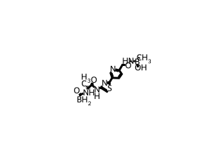 BC(=O)N[C@@H](C)C(=O)Nc1csc(-c2ccc(CONB(C)O)nc2)n1